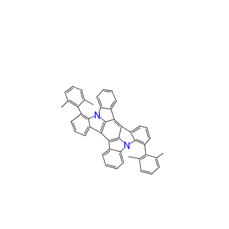 Cc1cccc(C)c1-c1cccc2c3c4c5ccccc5n5c6c(-c7c(C)cccc7C)cccc6c(c6c7ccccc7n(c12)c63)c45